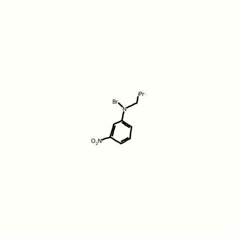 C[C](C)CN(Br)c1cccc([N+](=O)[O-])c1